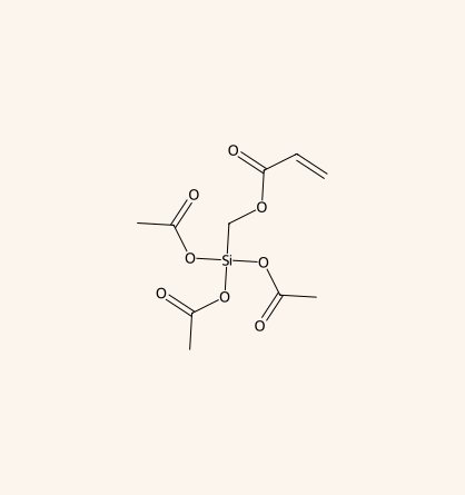 C=CC(=O)OC[Si](OC(C)=O)(OC(C)=O)OC(C)=O